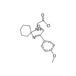 COc1ccc(/C(C=O)=N/C2(NCC(=O)Cl)CCCCC2)cc1